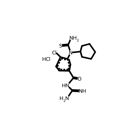 Cl.N=C(N)NC(=O)c1ccc(Cl)c(N(C(N)=S)C2CCCCC2)c1